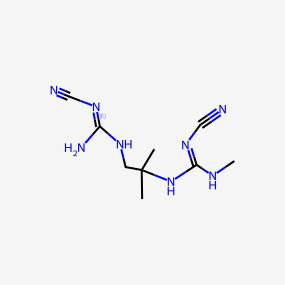 CNC(=NC#N)NC(C)(C)CN/C(N)=N/C#N